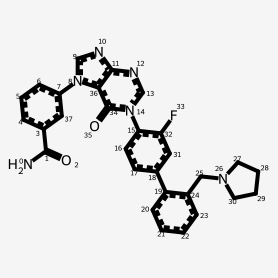 NC(=O)c1cccc(-n2cnc3ncn(-c4ccc(-c5ccccc5CN5CCCC5)cc4F)c(=O)c32)c1